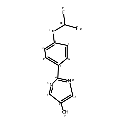 Cc1cnc(-c2ccc(SC(F)F)cc2)nc1